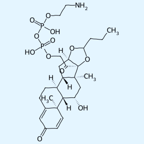 CCCC1O[C@@H]2C[C@H]3[C@@H]4CCC5=CC(=O)C=C[C@]5(C)[C@H]4[C@@H](O)C[C@]3(C)[C@]2(C(=O)COP(=O)(O)OP(=O)(O)OCCN)O1